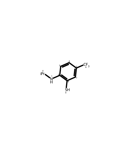 CC(C)Nc1ccc(C(F)(F)F)cc1S